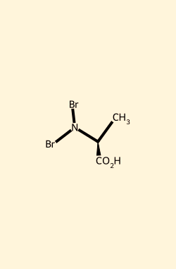 C[C@@H](C(=O)O)N(Br)Br